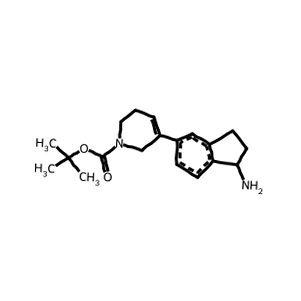 CC(C)(C)OC(=O)N1CCC=C(c2ccc3c(c2)CCC3N)C1